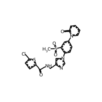 CS(=O)(=O)c1cc(-n2ccccc2=O)ccc1-n1cnc(CNC(=O)c2ccc(Cl)s2)c1